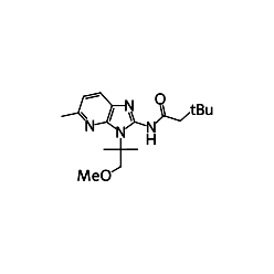 COCC(C)(C)n1c(NC(=O)CC(C)(C)C)nc2ccc(C)nc21